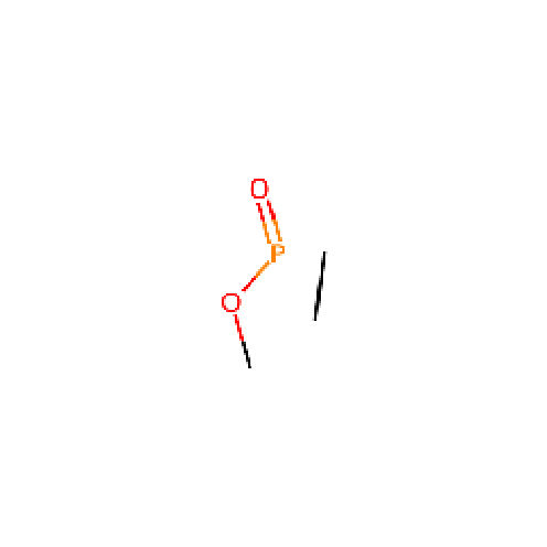 CC.COP=O